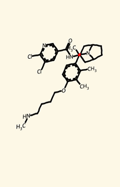 CNCCCCOc1ccc(C(C)N2C3CCC2CC(NC(=O)c2cnc(Cl)c(Cl)c2)C3)c(C)c1C